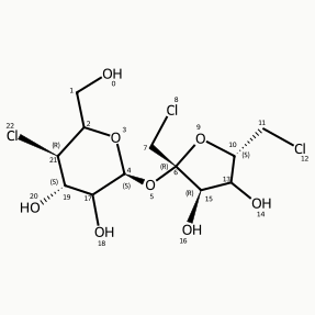 OCC1O[C@@H](O[C@]2(CCl)O[C@H](CCl)C(O)[C@H]2O)C(O)[C@H](O)[C@H]1Cl